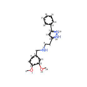 COc1ccc(CNCCc2cc(-c3ccccc3)n[nH]2)cc1OC